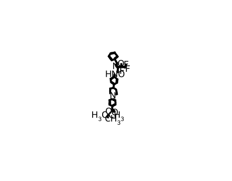 CC(C)(C)OC(=O)c1ccc(N2CCC(c3ccc(NC(=O)c4nc(-c5ccccc5)oc4C(F)(F)F)cc3)CC2)cc1